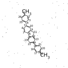 Cc1ccc(-c2ccc3c(c2)[CH]c2cc(-c4ccc(C)cc4)ccc2-3)cc1